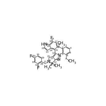 CCc1cccc(CC)c1-n1nc2c(c1-c1ccc(F)c3[nH]ccc13)CN(Cc1ccc(F)cc1F)C2(C)C